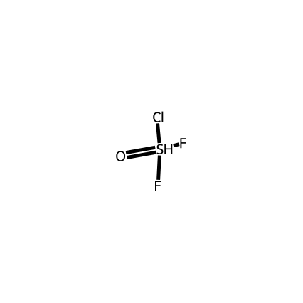 O=[SH](F)(F)Cl